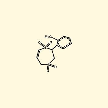 COc1ccccc1C1CS(=O)(=O)CC=CS1(=O)=O